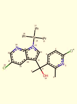 Cc1nc(Cl)ccc1C(C)(O)c1cn([Si](C(C)C)(C(C)C)C(C)C)c2ncc(Cl)cc12